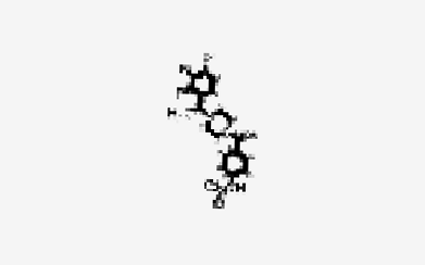 CC(c1ccc(F)c(F)c1F)N1CCN(C(=O)c2ccc(N[SH](=O)=O)cc2)CC1